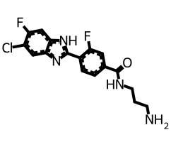 NCCCNC(=O)c1ccc(-c2nc3cc(Cl)c(F)cc3[nH]2)c(F)c1